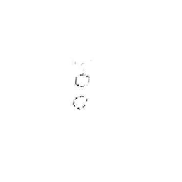 CCc1ccc(-c2ccc(B(O)O)cc2)cc1